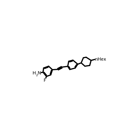 CCCCCCC1CCC(c2ccc(C#Cc3ccc(N)c(F)c3)cc2)CC1